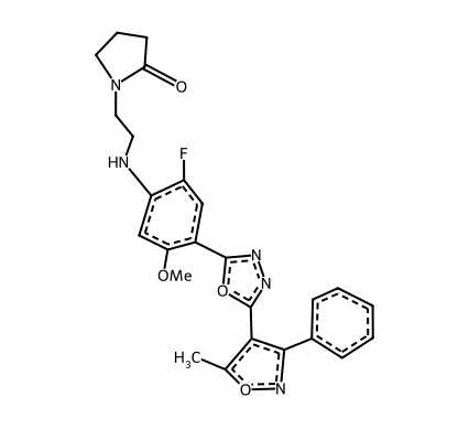 COc1cc(NCCN2CCCC2=O)c(F)cc1-c1nnc(-c2c(-c3ccccc3)noc2C)o1